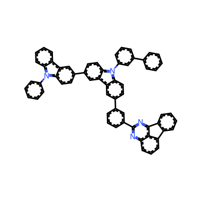 c1ccc(-c2cccc(-n3c4ccc(-c5cccc(-c6nc7c8c(cccc8n6)-c6ccccc6-7)c5)cc4c4cc(-c5ccc6c(c5)c5ccccc5n6-c5ccccc5)ccc43)c2)cc1